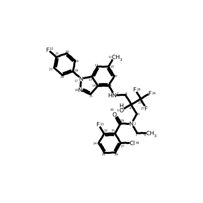 CCN(CC(O)(CNc1cc(C)cc2c1cnn2-c1ccc(F)cc1)C(F)(F)F)C(=O)c1c(F)cccc1Cl